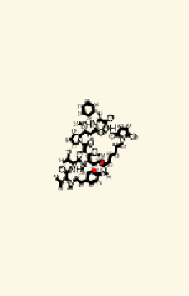 CC[C@H](C)[C@@H]([C@@H](CC(=O)N1CCC[C@H]1[C@H](OC)[C@@H](C)C(=O)N[C@@H](C[C@H]1C=CC=CC1)C(=O)O)OC)N(C)C(=O)[C@@H](NC(=O)[C@H](C(C)C)N(C)CCc1ccc(N(C)C(=O)CCCCCN2C(=O)C=CC2=O)cc1)C(C)C